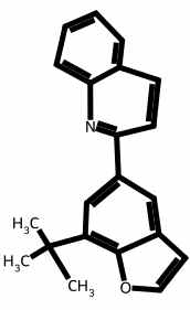 CC(C)(C)c1cc(-c2ccc3ccccc3n2)cc2ccoc12